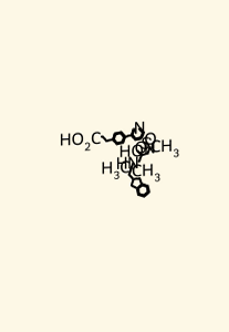 CN(CC(O)CNC(C)(C)CC1Cc2ccccc2C1)S(=O)(=O)c1cncc(-c2ccc(CCC(=O)O)cc2)c1